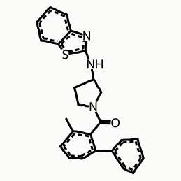 Cc1cccc(-c2ccccc2)c1C(=O)N1CCC(Nc2nc3ccccc3s2)C1